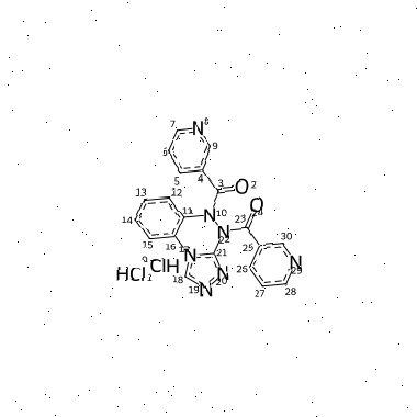 Cl.Cl.O=C(c1cccnc1)N1c2ccccc2-n2cnnc2N1C(=O)c1cccnc1